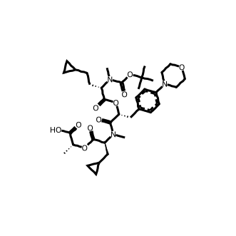 C[C@@H](OC(=O)[C@H](CC1CC1)N(C)C(=O)[C@@H](Cc1ccc(N2CCOCC2)cc1)OC(=O)[C@H](CCC1CC1)N(C)C(=O)OC(C)(C)C)C(=O)O